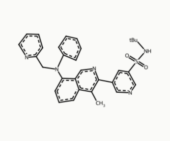 Cc1c(-c2cncc(S(=O)(=O)NC(C)(C)C)c2)ncc2c(N(Cc3ccccn3)c3ccccc3)cccc12